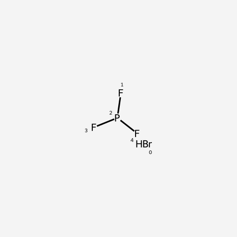 Br.FP(F)F